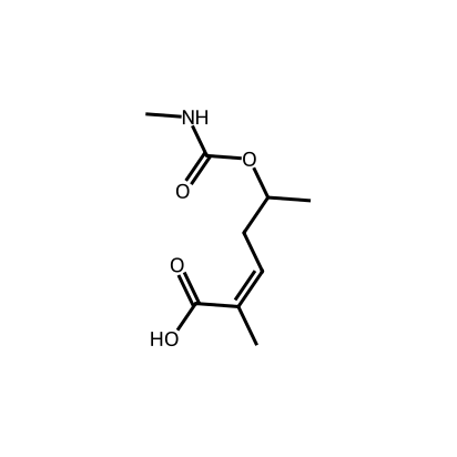 CNC(=O)OC(C)CC=C(C)C(=O)O